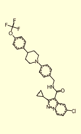 O=C(NCc1ccc(N2CCC(c3ccc(OC(F)(F)F)cc3)CC2)cc1)c1c(C2CC2)nn2ccc(Cl)cc12